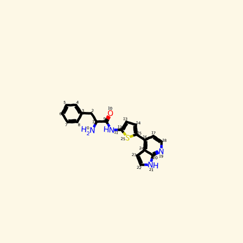 NC(Cc1ccccc1)C(=O)Nc1ccc(-c2ccnc3[nH]ccc23)s1